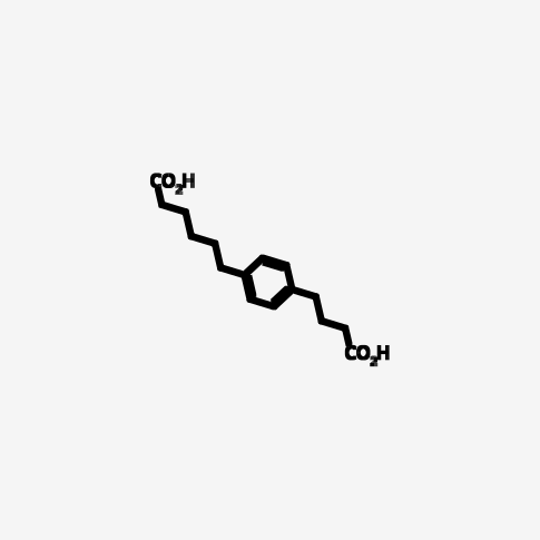 O=C(O)CCCCCc1ccc(CCCC(=O)O)cc1